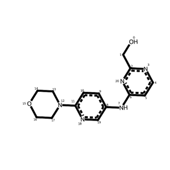 OCc1nccc(Nc2ccc(N3CCOCC3)nc2)n1